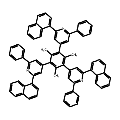 Cc1c(-c2cc(-c3ccccc3)nc(-c3cccc4ccccc34)c2)c(C)c(-c2cc(-c3ccccc3)nc(-c3cccc4ccccc34)c2)c(C)c1-c1cc(-c2ccccc2)nc(-c2cccc3ccccc23)c1